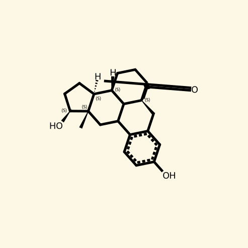 C[C@]12CC3c4ccc(O)cc4C[C@]45CCC(=O)C=C4CC[C@H](C35)[C@@H]1CC[C@@H]2O